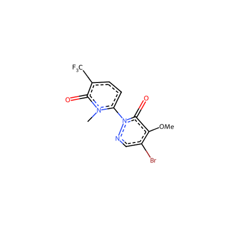 COc1c(Br)cnn(-c2ccc(C(F)(F)F)c(=O)n2C)c1=O